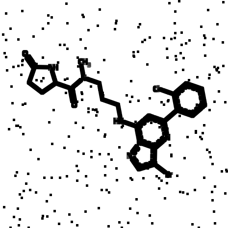 CN(CCCNc1cc(-c2ccccc2Cl)nc2c(Br)cnn12)C(=O)C1CCC(=O)N1